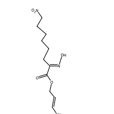 CCCCCCCC=CCOC(=O)C(CCCCCC[N+](=O)[O-])=NO